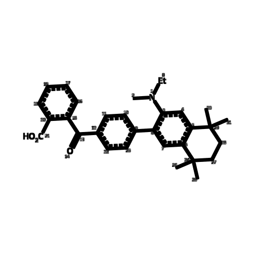 CCN(C)c1cc2c(cc1-c1ccc(C(=O)c3ccccc3C(=O)O)cc1)C(C)(C)CCC2(C)C